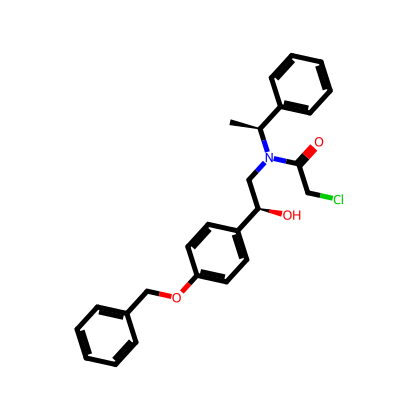 C[C@@H](c1ccccc1)N(C[C@@H](O)c1ccc(OCc2ccccc2)cc1)C(=O)CCl